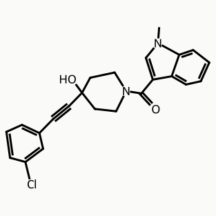 Cn1cc(C(=O)N2CCC(O)(C#Cc3cccc(Cl)c3)CC2)c2ccccc21